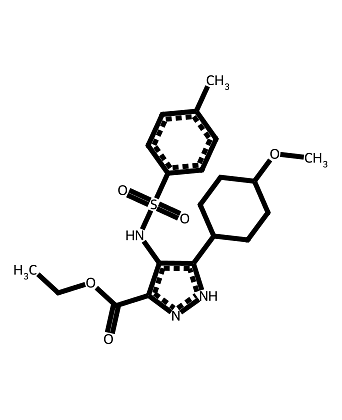 CCOC(=O)c1n[nH]c(C2CCC(OC)CC2)c1NS(=O)(=O)c1ccc(C)cc1